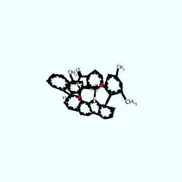 Cc1cc(C)c(-c2cccc3c4cccc(-c5c(C)cc(C)cc5C)c4n(-c4cccc5c4C(=O)N(c4ccccc4-c4ccccc4)C5=O)c23)c(C)c1